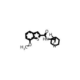 COc1cccc2cc(C(=O)N[C@H]3CN4CCC3CC4)sc12